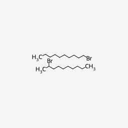 CCCCCCCCC(C)Br.CCCCCCCCCCBr